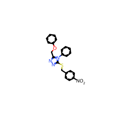 O=[N+]([O-])c1ccc(CSc2nnc(COc3ccccc3)n2-c2ccccc2)cc1